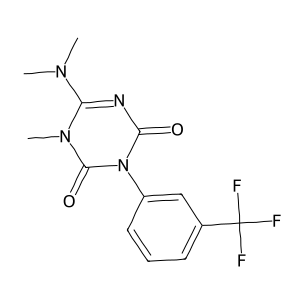 CN(C)c1nc(=O)n(-c2cccc(C(F)(F)F)c2)c(=O)n1C